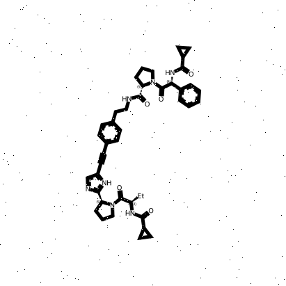 CC[C@@H](NC(=O)C1CC1)C(=O)N1CCC[C@H]1c1ncc(C#Cc2ccc(CCNC(=O)[C@@H]3CCCN3C(=O)[C@H](NC(=O)C3CC3)c3ccccc3)cc2)[nH]1